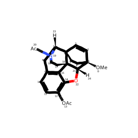 CO[C@]12C=C[C@@]3(CC1)[C@H]1Cc4ccc(OC(C)=O)c5c4[C@@]3(CCN1C(C)=O)[C@H]2O5